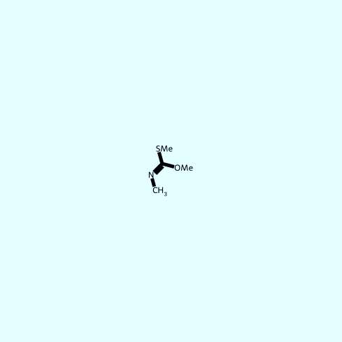 C/N=C(\OC)SC